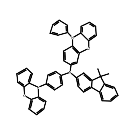 CC1(C)c2ccccc2-c2ccc(N(c3ccc(N4c5ccccc5Oc5ccccc54)cc3)c3ccc4c(c3)Oc3ccccc3N4c3ccccc3)cc21